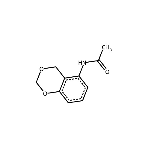 CC(=O)Nc1cccc2c1COCO2